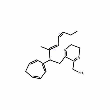 CC/C=C\C=C(/C)C(CC1=NCCN=C1CN)C1=CC=CCC=C1